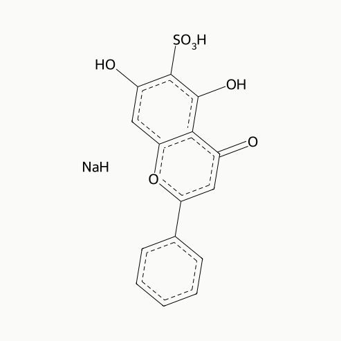 O=c1cc(-c2ccccc2)oc2cc(O)c(S(=O)(=O)O)c(O)c12.[NaH]